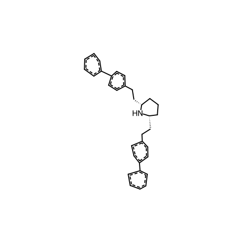 c1ccc(-c2ccc(CC[C@H]3CCC[C@@H](CCc4ccc(-c5ccccc5)cc4)N3)cc2)cc1